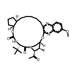 COc1ccc2nc3c(nc2c1)O[C@H]1CN(C(=O)[C@H](C(C)(C)C)NC(=O)O[C@@H]2CCC[C@H]2CCCCC3)[C@H](C(C)=O)[C@@H]1F